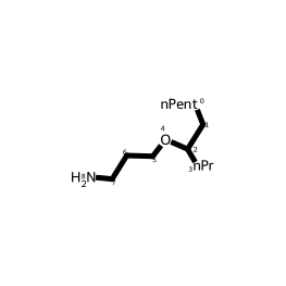 CCCCCCC(CCC)OCCCN